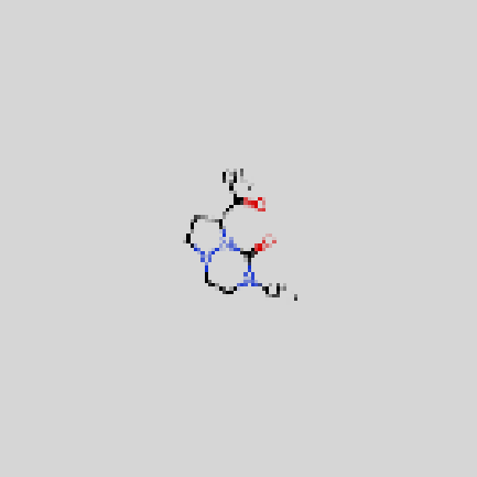 CC(=O)[C@@H]1CCN2CCN(C)C(=O)N12